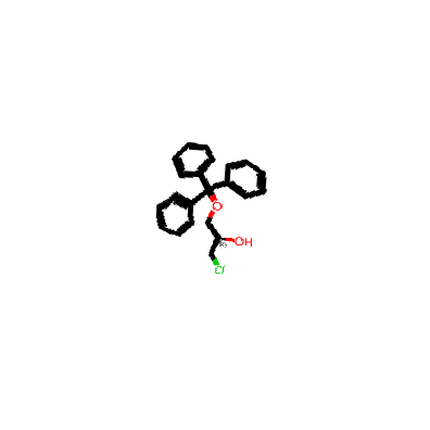 O[C@@H](CCl)COC(c1ccccc1)(c1ccccc1)c1ccccc1